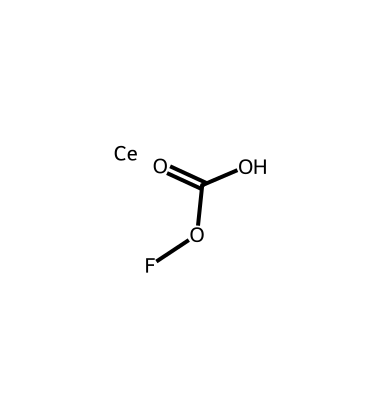 O=C(O)OF.[Ce]